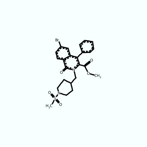 COC(=O)c1c(-c2ccccc2)c2cc(Br)ccc2c(=O)n1CC1CCN(S(C)(=O)=O)CC1